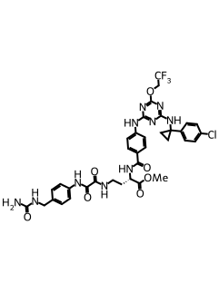 COC(=O)[C@H](CCNC(=O)C(=O)Nc1ccc(CNC(N)=O)cc1)NC(=O)c1ccc(Nc2nc(NC3(c4ccc(Cl)cc4)CC3)nc(OCC(F)(F)F)n2)cc1